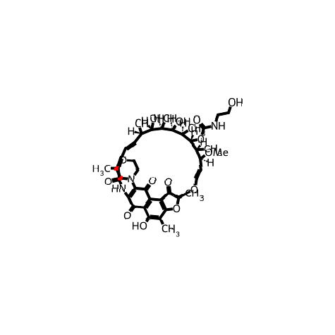 CO[C@H]1/C=C/O[C@@]2(C)Oc3c(C)c(O)c4c(c3C2=O)C(=O)C(N2CCOCC2)=C(NC(=O)/C(C)=C\C=C\[C@H](C)[C@H](O)[C@@H](C)[C@@H](O)[C@@H](C)[C@H](OC(=O)NCCO)[C@@H]1C)C4=O